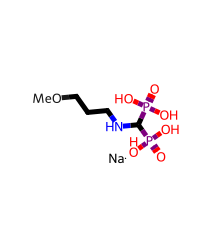 COCCCNC(P(=O)(O)O)P(=O)(O)O.[Na]